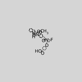 COc1cc(CC(=O)N2C[C@@H](F)C[C@H]2CO[C@H]2CC[C@H](C(=O)O)CC2)ccc1NC(=O)c1cc2ccccc2[nH]1